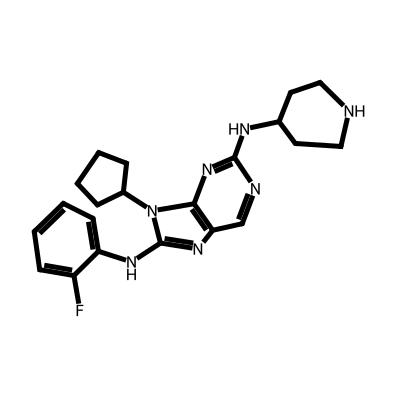 Fc1ccccc1Nc1nc2cnc(NC3CCNCC3)nc2n1C1CCCC1